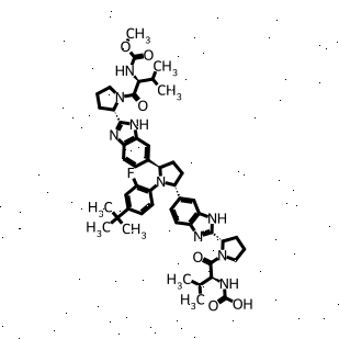 COC(=O)N[C@H](C(=O)N1CCC[C@H]1c1nc2ccc([C@H]3CC[C@H](c4ccc5nc([C@@H]6CCCN6C(=O)[C@@H](NC(=O)O)C(C)C)[nH]c5c4)N3c3ccc(C(C)(C)C)cc3F)cc2[nH]1)C(C)C